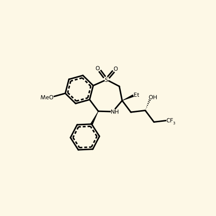 CC[C@]1(C[C@H](O)CC(F)(F)F)CS(=O)(=O)c2ccc(OC)cc2[C@H](c2ccccc2)N1